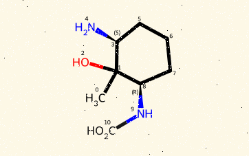 CC1(O)[C@@H](N)CCC[C@H]1NC(=O)O